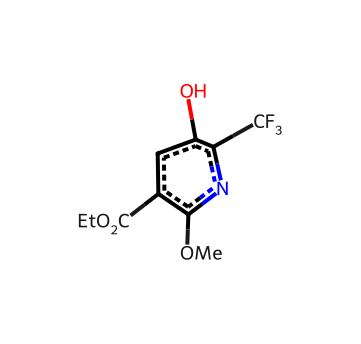 CCOC(=O)c1cc(O)c(C(F)(F)F)nc1OC